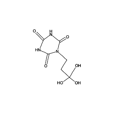 O=c1[nH]c(=O)n(CCC(O)(O)O)c(=O)[nH]1